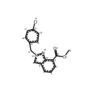 COC(=O)c1cccc2cn(Cc3ccc(Cl)cc3)nc12